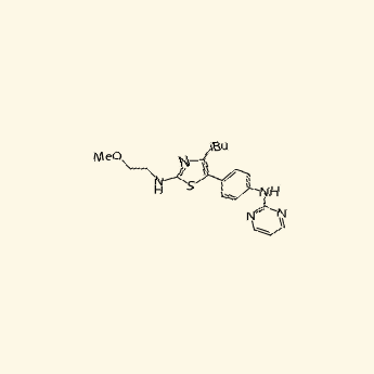 CCC(C)c1nc(NCCOC)sc1-c1ccc(Nc2ncccn2)cc1